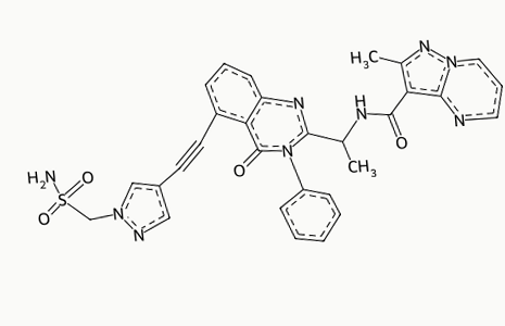 Cc1nn2cccnc2c1C(=O)NC(C)c1nc2cccc(C#Cc3cnn(CS(N)(=O)=O)c3)c2c(=O)n1-c1ccccc1